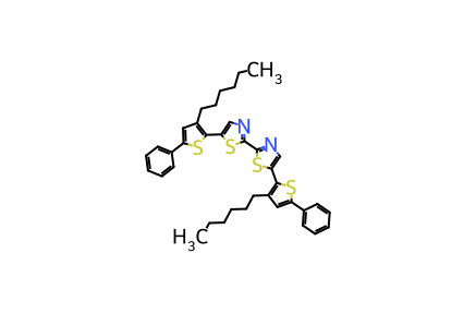 CCCCCCc1cc(-c2ccccc2)sc1-c1cnc(-c2ncc(-c3sc(-c4ccccc4)cc3CCCCCC)s2)s1